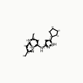 Cc1cc(Nc2cc(C3CCCC3)[nH]n2)n2nc(C)cc2n1